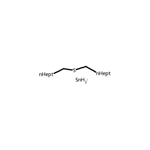 CCCCCCCCSCCCCCCCC.[SnH2]